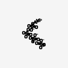 O=S(=O)([O-])[O-].O=S(=O)([O-])[O-].O=S(=O)([O-])[O-].O=S(=O)([O-])[O-].[Al+3].[V+5]